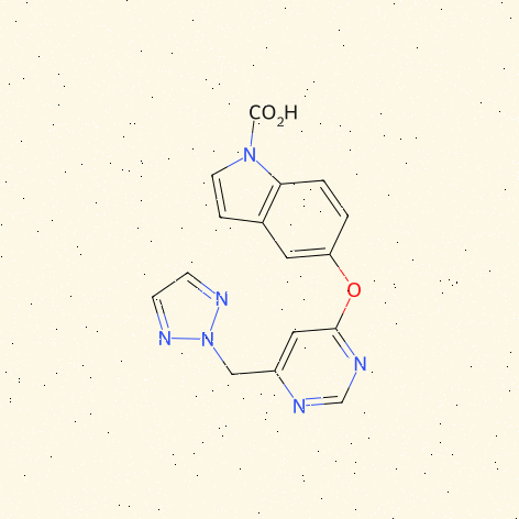 O=C(O)n1ccc2cc(Oc3cc(Cn4nccn4)ncn3)ccc21